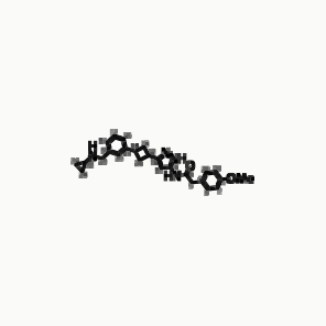 COc1ccc(CC(=O)Nc2cc(C3CC(c4cccc(CNC5CC5)c4)C3)n[nH]2)cc1